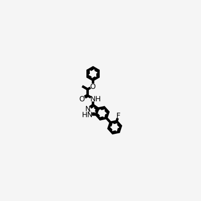 CC(Oc1ccccc1)C(=O)Nc1n[nH]c2cc(-c3ccccc3F)ccc12